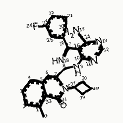 Cc1cccc2cc(CNc3ncnc(N)c3C(=N)c3cccc(F)c3)n(C3CCC3)c(=O)c12